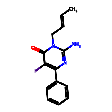 C/C=C/Cn1c(N)nc(-c2ccccc2)c(I)c1=O